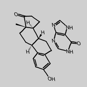 C[C@]12CC[C@@H]3c4ccc(O)cc4CC[C@H]3[C@@H]1CCC2=O.O=c1[nH]cnc2nc[nH]c12